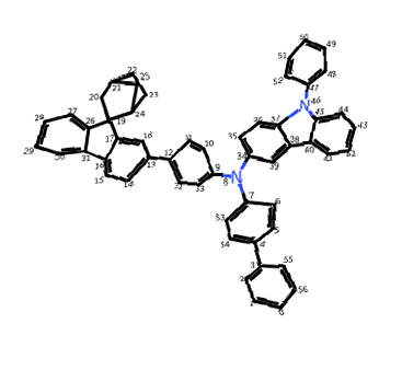 c1ccc(-c2ccc(N(c3ccc(-c4ccc5c(c4)C4(CC6CCC4C6)c4ccccc4-5)cc3)c3ccc4c(c3)c3ccccc3n4-c3ccccc3)cc2)cc1